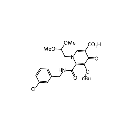 CCCCOc1c(C(=O)NCc2cccc(Cl)c2)n(CC(OC)OC)cc(C(=O)O)c1=O